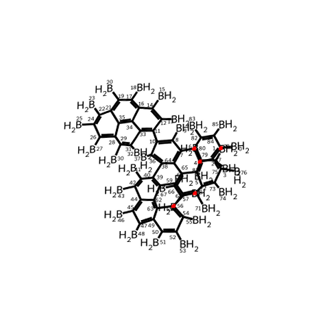 Bc1c(B)c(B)c(-c2c(B)c(-c3c(B)c(B)c4c(B)c(B)c5c(B)c(B)c(B)c6c(B)c(B)c3c4c56)c(B)c(-c3c(B)c(B)c4c(B)c(B)c5c(B)c(B)c(B)c6c(B)c(B)c3c4c56)c2-c2c(B)c(B)c(B)c3c(B)c(B)c(B)c(B)c23)c(B)c1B